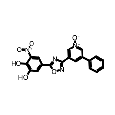 O=[N+]([O-])c1cc(-c2nc(-c3cc(-c4ccccc4)c[n+]([O-])c3)no2)cc(O)c1O